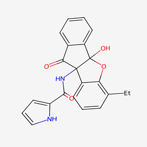 CCc1cccc2c1OC1(O)c3ccccc3C(=O)C21NC(=O)c1ccc[nH]1